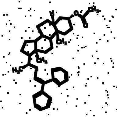 CC(=O)O[C@@H]1CC[C@]2(C)C3CC[C@@]4(C)C(CCC4[C@H](C)CC=C(c4ccccc4)c4ccccc4)C3CC[C@@H]2C1